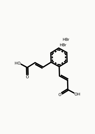 Br.Br.O=C(O)C=Cc1ccccc1C=CC(=O)O